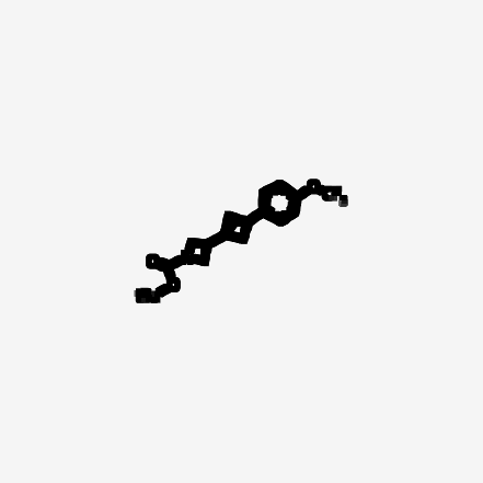 CC(C)(C)OC(=O)N1CC(C23CC(c4ccc(OC(F)(F)F)cc4)(C2)C3)C1